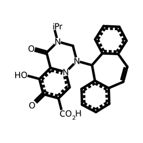 CC(C)N1CN(C2c3ccccc3C=Cc3ccccc32)n2cc(C(=O)O)c(=O)c(O)c2C1=O